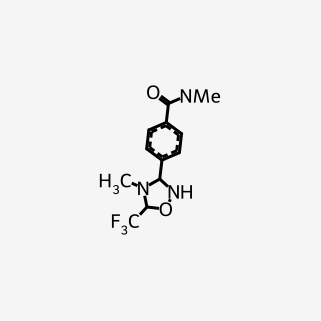 CNC(=O)c1ccc(C2NOC(C(F)(F)F)N2C)cc1